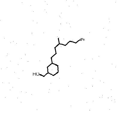 CC(C)CCCC(C)CCCC1CCCC(CO)C1